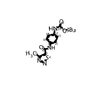 Cc1nnsc1C(=O)Nc1ccc(NC(=O)OC(C)(C)C)cc1